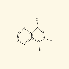 Cc1cc(Cl)c2ncccc2c1Br